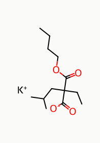 CCCCOC(=O)C(CC)(CC(C)C)C(=O)[O-].[K+]